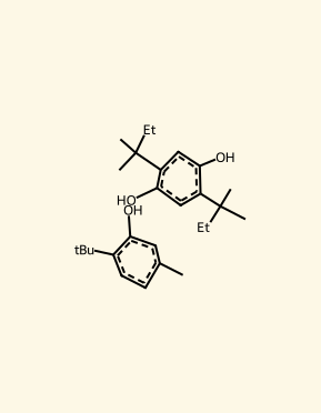 CCC(C)(C)c1cc(O)c(C(C)(C)CC)cc1O.Cc1ccc(C(C)(C)C)c(O)c1